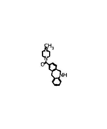 CN1CCN(C(=O)c2ccc3c(c2)Cc2ccccc2NC3)CC1